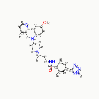 COc1ccc(N(Cc2cnccc2C)C2CCN(C(C)CCNC(=O)c3c(C)cc(-c4nnn(C)n4)cc3C)CC2)cc1